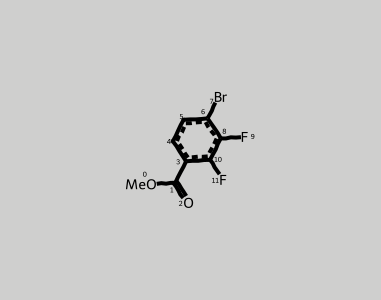 COC(=O)c1ccc(Br)c(F)c1F